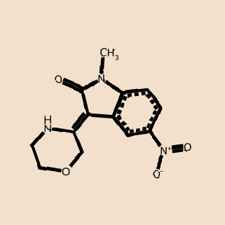 CN1C(=O)/C(=C2/COCCN2)c2cc([N+](=O)[O-])ccc21